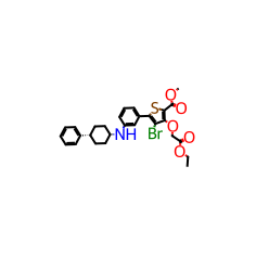 CCOC(=O)COc1c(C(=O)OC)sc(-c2cccc(N[C@H]3CC[C@@H](c4ccccc4)CC3)c2)c1Br